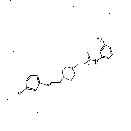 Cc1cccc(NC(=O)CCN2CCN(CC=Cc3cccc(Cl)c3)CC2)c1